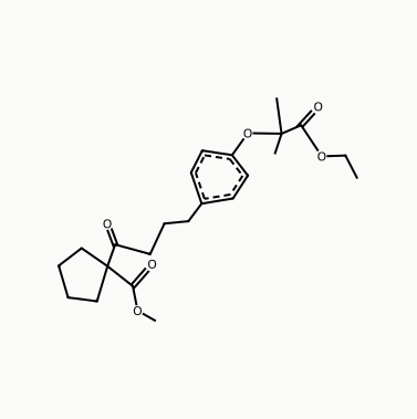 CCOC(=O)C(C)(C)Oc1ccc(CCCC(=O)C2(C(=O)OC)CCCC2)cc1